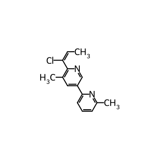 C/C=C(/Cl)c1ncc(-c2cccc(C)n2)cc1C